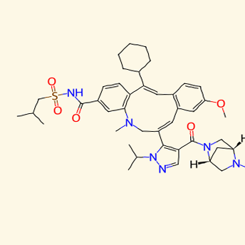 CCN1C[C@H]2C[C@@H]1CN2C(=O)c1cnn(C(C)C)c1/C1=C/c2cc(OC)ccc2/C=C(\C2CCCCC2)c2ccc(C(=O)NS(=O)(=O)CC(C)C)cc2N(C)C1